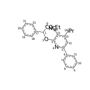 CCOC(=O)C(Oc1nc(-c2ccccc2)cc(C(C)C)c1C#N)c1ccccc1